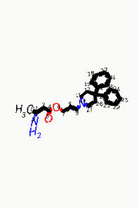 C/C(N)=C/C(=O)OCCCN1CCC(c2ccccc2)(c2ccccc2)CC1